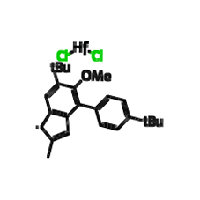 COc1c(C(C)(C)C)cc2c(c1-c1ccc(C(C)(C)C)cc1)C=C(C)[CH]2.[Cl][Hf][Cl]